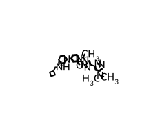 CC(n1cc(-c2cc(N(C)C)cnn2)nn1)n1ccc(N2CCC[C@@H](NCC3CCC3)C2)cc1=O